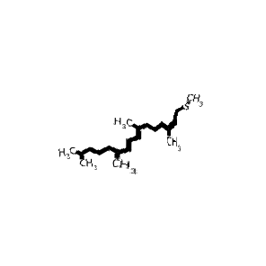 CSCC=C(C)CCCC(C)CCCC(C)CCCC(C)C